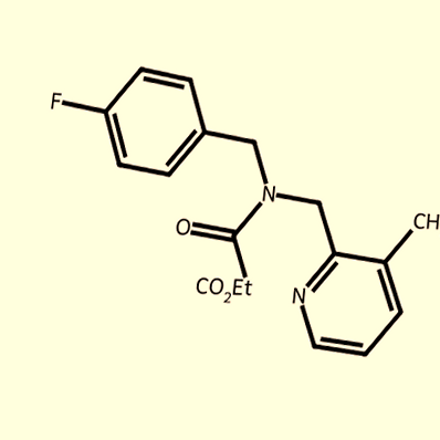 CCOC(=O)C(=O)N(Cc1ccc(F)cc1)Cc1ncccc1C